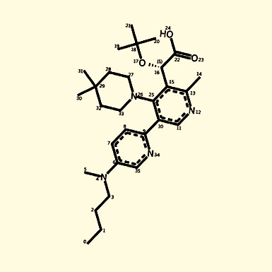 CCCCN(C)c1ccc(-c2cnc(C)c([C@H](OC(C)(C)C)C(=O)O)c2N2CCC(C)(C)CC2)nc1